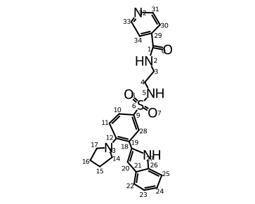 O=C(NCCNS(=O)(=O)c1ccc(N2CCCC2)c(-c2cc3ccccc3[nH]2)c1)c1ccncc1